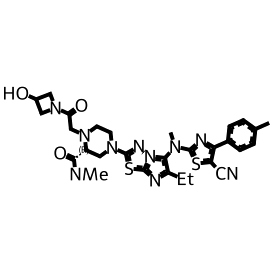 CCc1nc2sc(N3CCN(CC(=O)N4CC(O)C4)[C@@H](C(=O)NC)C3)nn2c1N(C)c1nc(-c2ccc(C)cc2)c(C#N)s1